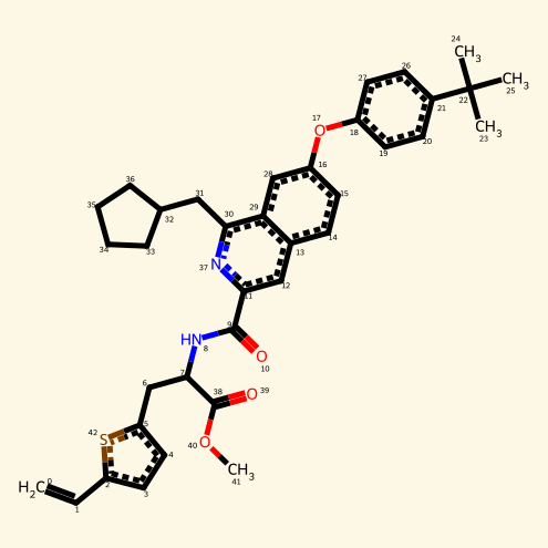 C=Cc1ccc(CC(NC(=O)c2cc3ccc(Oc4ccc(C(C)(C)C)cc4)cc3c(CC3CCCC3)n2)C(=O)OC)s1